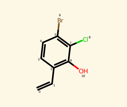 C=Cc1ccc(Br)c(Cl)c1O